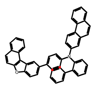 c1ccc(-c2ccccc2N(c2ccc(-c3ccc4oc5ccc6ccccc6c5c4c3)cc2)c2ccc3c(ccc4ccccc43)c2)cc1